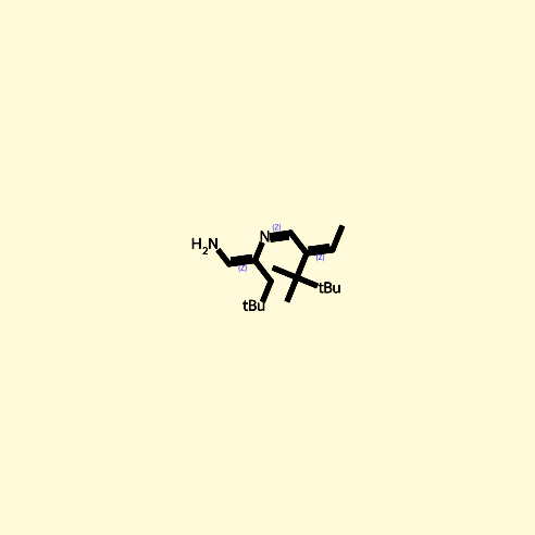 C\C=C(/C=N\C(=C/N)CC(C)(C)C)C(C)(C)C(C)(C)C